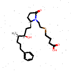 C[C@@H](CCCc1ccccc1)[C@H](O)CC[C@H]1CCC(=O)N1CCSCCCC(=O)O